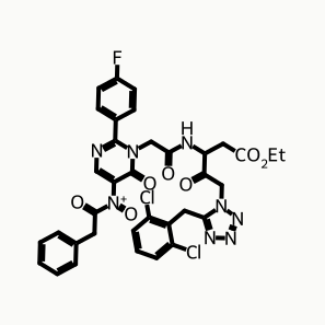 CCOC(=O)CC(NC(=O)Cn1c(-c2ccc(F)cc2)ncc([N+](=O)C(=O)Cc2ccccc2)c1=O)C(=O)Cn1nnnc1Cc1c(Cl)cccc1Cl